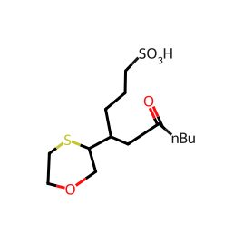 CCCCC(=O)CC(CCCS(=O)(=O)O)C1COCCS1